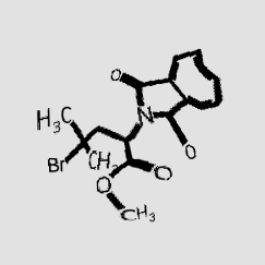 COC(=O)C(CC(C)(C)Br)N1C(=O)c2ccccc2C1=O